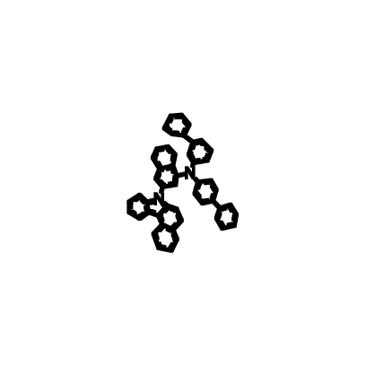 c1ccc(-c2ccc(N(c3cccc(-c4ccccc4)c3)c3cc(-n4c5ccccc5c5c6ccccc6ccc54)cc4ccccc34)cc2)cc1